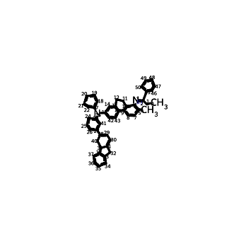 CC/C(=N\c1c(C)ccc2c1CCc1cc(N(c3ccccc3)c3cccc(C4=CC=C5Cc6ccccc6C5C4)c3)ccc1-2)c1ccccc1